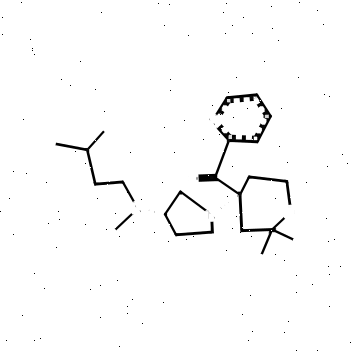 CC(C)CCN(C)[C@H]1CCN([C@]2(C(=O)c3ccccn3)CCOC(C)(C)C2)C1